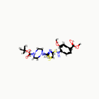 COC(=O)c1ccc(NSc2csc(N3CCN(C(=O)OC(C)(C)C)CC3)n2)c(OC)c1